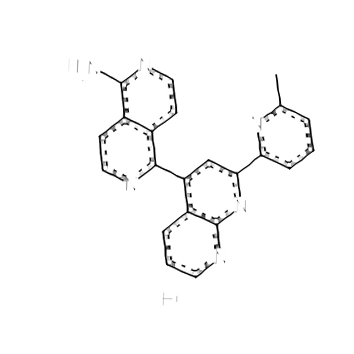 Cc1cccc(-c2cc(-c3nccc4c(N)nccc34)c3cccnc3n2)n1.Cl